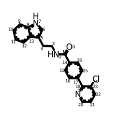 O=C(NCCc1c[nH]c2ccccc12)c1ccc(-c2ncccc2Cl)cc1